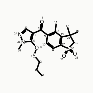 CCCSOc1c(C(=O)c2ccc3c(c2C)C(C)(C)CS3(=O)=O)cnn1C